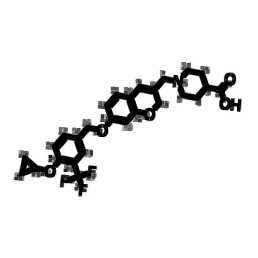 O=C(O)C1CCN(CC2=Cc3ccc(OCc4ccc(OC5CC5)c(C(F)(F)F)c4)cc3OC2)CC1